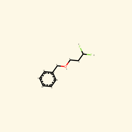 FC(F)CCOCc1ccccc1